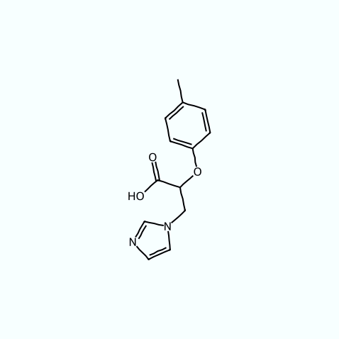 Cc1ccc(OC(Cn2ccnc2)C(=O)O)cc1